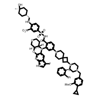 COc1cc(CN2CCN(C3CC4(CCN(c5ccc(C(=O)NS(=O)(=O)c6ccc(NC[C@H]7CC[C@](C)(O)CC7)c([N+](=O)[O-])c6)c(N6c7cc8c(F)c[nH]c8nc7O[C@H]7COCC[C@@H]76)c5)CC4)C3)[C@H](c3ccccc3C(C)C)C2)ccc1C1CC1